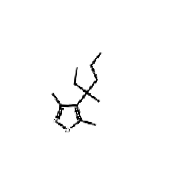 CCCC(C)(CC)c1c(C)noc1C